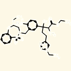 CCOC(=O)C(C)C(C)(CCc1cn(CC)nn1)c1ccc(C)c(CN2C[C@@H](CC)Oc3ccccc3S2(=O)=O)c1